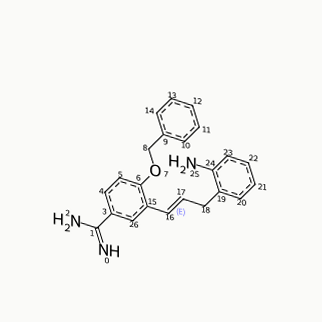 N=C(N)c1ccc(OCc2ccccc2)c(/C=C/Cc2ccccc2N)c1